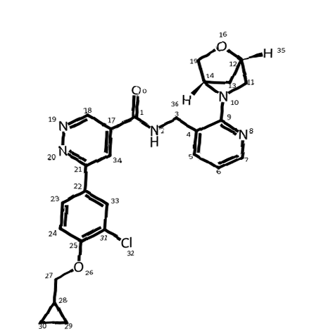 O=C(NCc1cccnc1N1C[C@@H]2C[C@H]1CO2)c1cnnc(-c2ccc(OCC3CC3)c(Cl)c2)c1